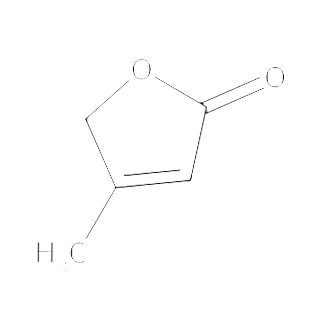 CC1=CC(=O)OC1